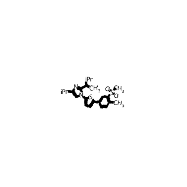 Cc1ccc(-c2ccc(-n3cc(C(C)C)nc3C(C)C(C)C)s2)cc1S(C)(=O)=O